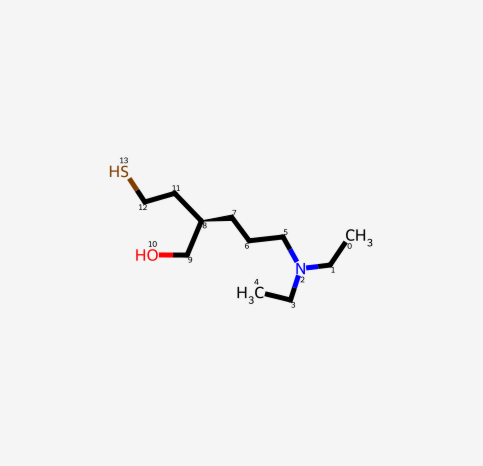 CCN(CC)CCC[C@@H](CO)CCS